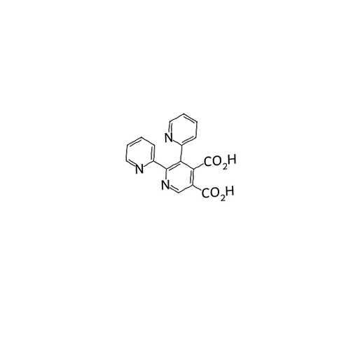 O=C(O)c1cnc(-c2ccccn2)c(-c2ccccn2)c1C(=O)O